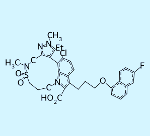 CCc1c2c(nn1C)CN(C)S(=O)(=O)CCCn1c(C(=O)O)c(CCCOc3cccc4cc(F)ccc34)c3ccc(Cl)c-2c31